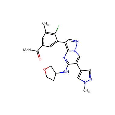 CNC(=O)c1cc(C)c(F)c(-c2cnn3cc(-c4cnn(C)c4)c(N[C@H]4CCOC4)nc23)c1